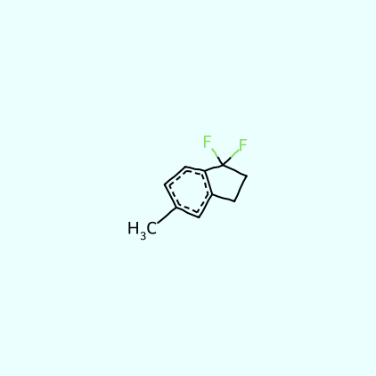 Cc1ccc2c(c1)CCC2(F)F